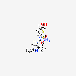 Cc1c(C(F)(F)F)nc2c(c1NC(=O)N=S(N)(=O)c1ccc(C(C)(C)O)s1)CCC2